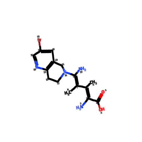 CC(=C(/N)C(=O)O)/C(C)=C(\N)N1CCc2ncc(Br)cc2C1